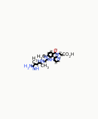 C/C(=C\C=C(/C)C(=N)N)NCC1Nc2cc(C(=O)N(CCC(=O)O)c3ccccn3)ccc2N1C